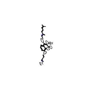 CC/C=C/CCOc1cccc2c(OC/C=C(\C)CCC=C(C)C)c(OC(C)C)c(=O)oc12